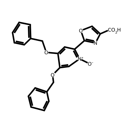 O=C(O)c1coc(-c2cc(OCc3ccccc3)c(OCc3ccccc3)c[n+]2[O-])n1